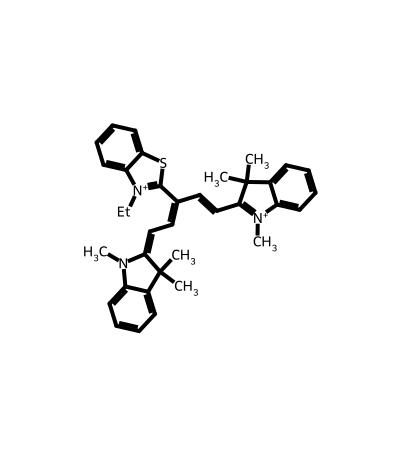 CC[n+]1c(C(=C\C=C2\N(C)c3ccccc3C2(C)C)/C=C/C2=[N+](C)c3ccccc3C2(C)C)sc2ccccc21